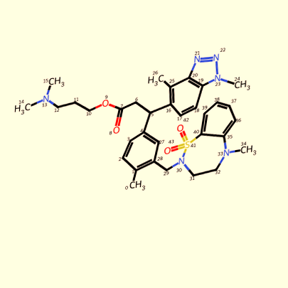 Cc1ccc(C(CC(=O)OCCCN(C)C)c2ccc3c(nnn3C)c2C)cc1CN1CCN(C)c2ccccc2S1(=O)=O